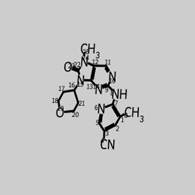 Cc1cc(C#N)cnc1Nc1ncc2c(n1)n(C1CCOCC1)c(=O)n2C